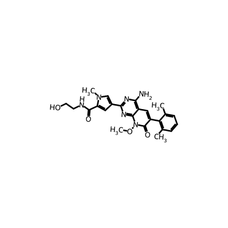 COn1c(=O)c(-c2c(C)cccc2C)cc2c(N)nc(-c3cc(C(=O)NCCO)n(C)c3)nc21